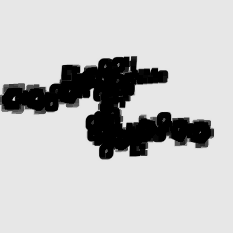 CCc1c2c(nc3ccc(OC(=O)N4CCC(N5CCCCC5)CC4)cc13)-c1cc3c(c(=O)n1C2)COC(=O)C3(CC)OC(=O)CNC(=O)[C@@](CC)(OC(=O)CNC)c1cc2n(c(=O)c1CO)Cc1c-2nc2ccc(OC(=O)N3CCC(N4CCCCC4)CC3)cc2c1CC